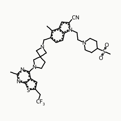 Cc1nc(N2CCC3(CN(Cc4ccc5c(cc(C#N)n5CCN5CCC(S(C)(=O)=O)CC5)c4C)C3)C2)c2cc(CC(F)(F)F)sc2n1